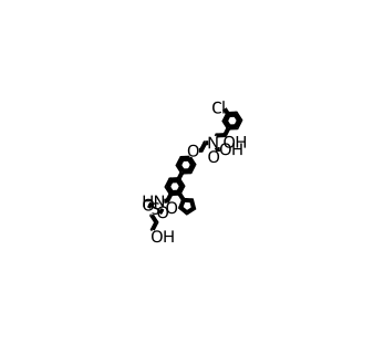 O=C(NS(=O)(=O)CCCO)c1ccc(-c2ccc(OCCN(C[C@H](O)c3cccc(Cl)c3)C(=O)O)cc2)cc1C1CCCC1